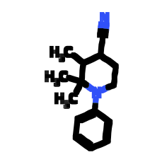 CC1C(C#N)CCN(c2ccccc2)C1(C)C